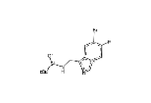 CC(C)(C)[S+]([O-])NCc1ncn2cc(F)c(Br)cc12